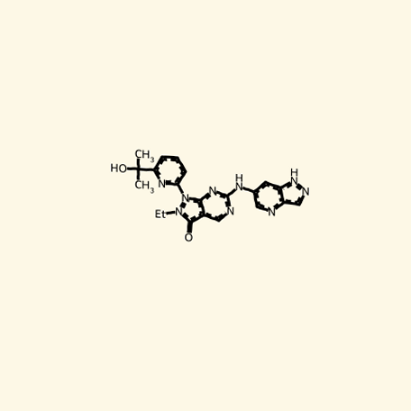 CCn1c(=O)c2cnc(Nc3cnc4cn[nH]c4c3)nc2n1-c1cccc(C(C)(C)O)n1